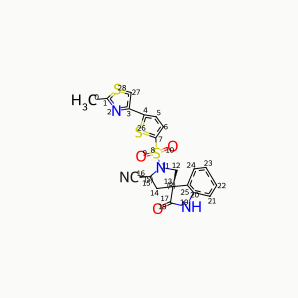 Cc1nc(-c2ccc(S(=O)(=O)N3C[C@]4(C[C@H]3C#N)C(=O)Nc3ccccc34)s2)cs1